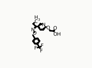 CCC(=NOCc1ccc(C(F)(F)F)cc1)c1ccc(OCC(=O)O)nc1